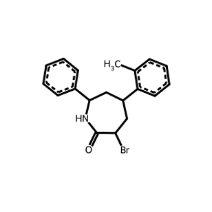 Cc1ccccc1C1CC(Br)C(=O)NC(c2ccccc2)C1